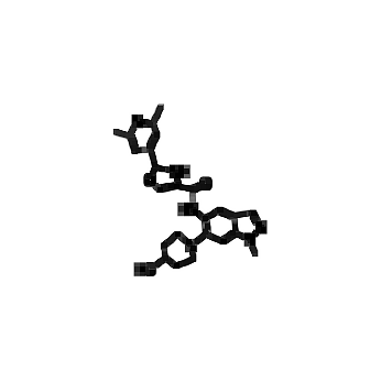 Cc1cc(C2NC(C(=O)Nc3cc4cnn(C)c4cc3N3CCC(O)CC3)=CO2)cc(C)n1